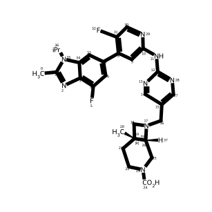 Cc1nc2c(F)cc(-c3cc(Nc4ncc(CN5C[C@@]6(C)CCN(C(=O)O)C[C@@H]56)cn4)ncc3F)cc2n1C(C)C